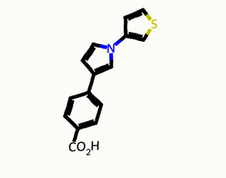 O=C(O)c1ccc(-c2ccn(-c3ccsc3)c2)cc1